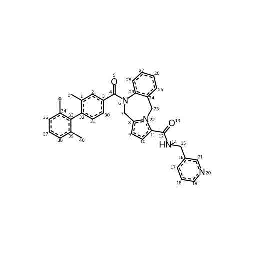 Cc1cc(C(=O)N2Cc3ccc(C(=O)NCc4cccnc4)n3Cc3ccccc32)ccc1-c1c(C)cccc1C